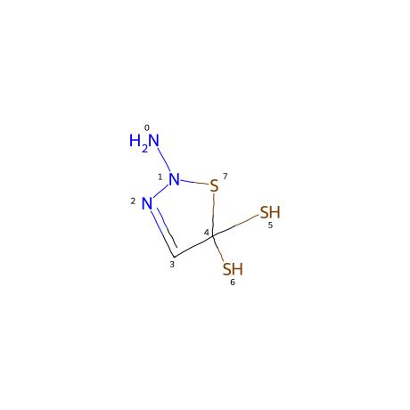 NN1N=CC(S)(S)S1